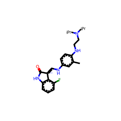 Cc1cc(N/C=C2/C(=O)Nc3cccc(F)c32)ccc1NCCN(C(C)C)C(C)C